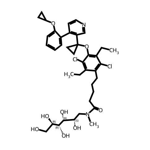 CCc1c(Cl)c(OC2(c3cnccc3-c3ccccc3OC3CC3)CC2)c(CC)c(Cl)c1CCCCC(=O)N(C)C[C@H](O)[C@@H](O)[C@H](O)[C@H](O)CO